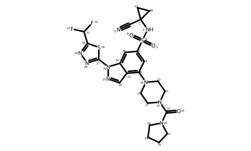 N#CC1(NS(=O)(=O)c2cc(N3CCN(C(=O)N4CCCC4)CC3)c3cnn(-c4nnc(C(F)F)s4)c3c2)CC1